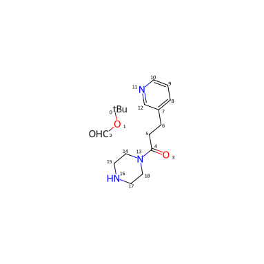 CC(C)(C)OC=O.O=C(CCc1cccnc1)N1CCNCC1